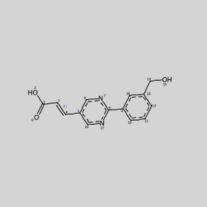 O=C(O)/C=C/c1cnc(-c2cccc(CO)c2)nc1